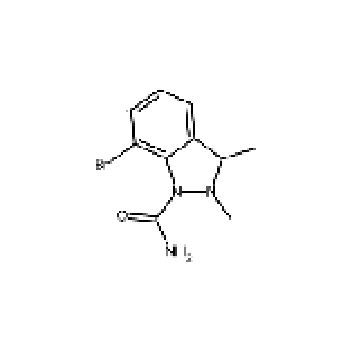 CC1c2cc[c]c(Br)c2N(C(N)=O)N1C